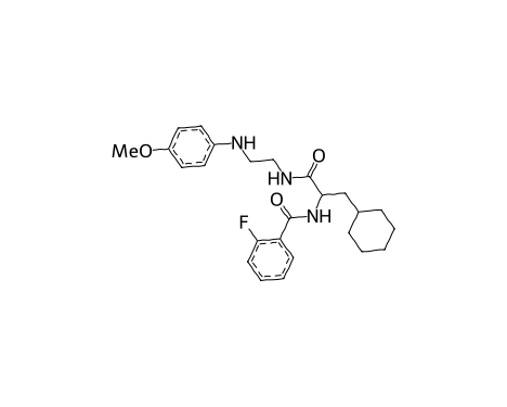 COc1ccc(NCCNC(=O)C(CC2CCCCC2)NC(=O)c2ccccc2F)cc1